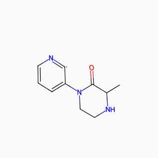 CC1NCCN(c2[c]nccc2)C1=O